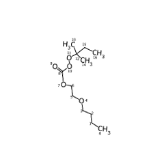 CCCCOCCOC(=O)OOC(C)(C)CC